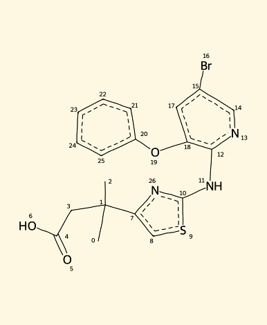 CC(C)(CC(=O)O)c1csc(Nc2ncc(Br)cc2Oc2ccccc2)n1